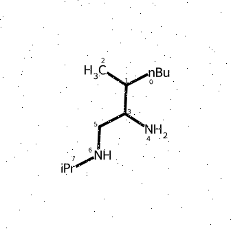 CCCCC(C)C(N)CNC(C)C